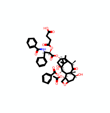 CC(=O)O[C@@]12COC1C[C@H](O)[C@@]1(C)C(=O)[C@H](C)C3=C(C)[C@@H](OC(=O)[C@H](OC(=O)CCC(=O)O)[C@@H](NC(=O)c4ccccc4)c4ccccc4)C[C@@](O)([C@@H](OC(=O)c4ccccc4)C21)C3(C)C